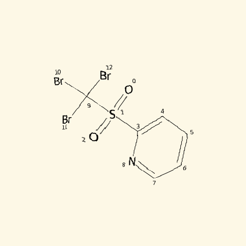 O=S(=O)(c1ccccn1)C(Br)(Br)Br